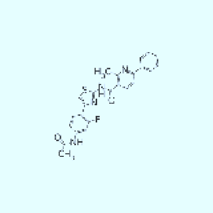 CC(=O)Nc1ccc(-c2csc(NC(=O)c3ccc(-c4ccccc4)nc3C)n2)c(F)c1